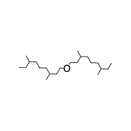 CCC(C)CCCC(C)CCOCCC(C)CCCC(C)CC